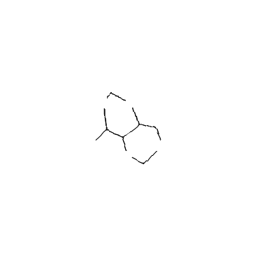 CCC1OCOC2C1OCO[C@H]2CC